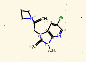 C=C(CN1C(=C)N(C)c2ncc(Br)cc21)N1CCC1